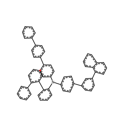 c1ccc(-c2ccc(-c3ccc(N(c4ccc(-c5cccc(-c6cccc7ccccc67)c5)cc4)c4ccccc4-c4ccccc4-c4ccccc4)cc3)cc2)cc1